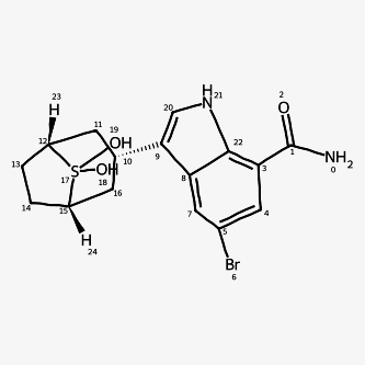 NC(=O)c1cc(Br)cc2c([C@H]3C[C@H]4CC[C@@H](C3)S4(O)O)c[nH]c12